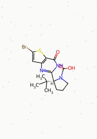 CC(C)(C)[C@@]1(c2nc3cc(Br)sc3c(=O)[nH]2)CCCN1C(=O)O